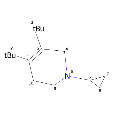 CC(C)(C)C1=C(C(C)(C)C)CN(C2CC2)CC1